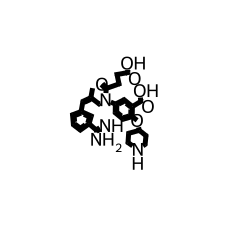 CC(=Cc1cccc(C(=N)N)c1)CN(C(=O)CCC(=O)O)c1ccc(OC2CCNCC2)c(C(=O)O)c1